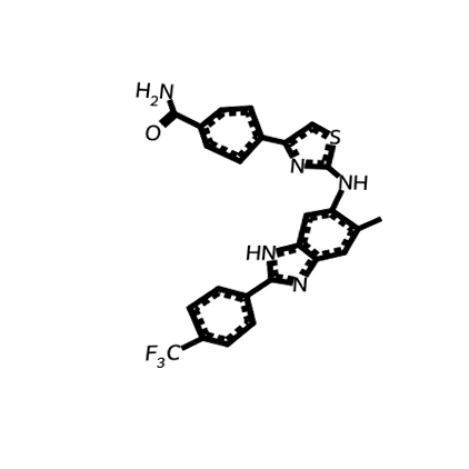 Cc1cc2nc(-c3ccc(C(F)(F)F)cc3)[nH]c2cc1Nc1nc(-c2ccc(C(N)=O)cc2)cs1